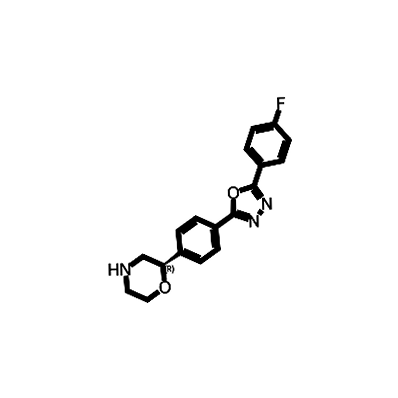 Fc1ccc(-c2nnc(-c3ccc([C@@H]4CNCCO4)cc3)o2)cc1